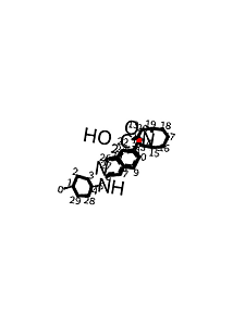 C[C@H]1CC[C@@H](Nc2cc3ccc(C(=O)N4C5CCCC4CC(C(=O)O)C5)cc3cn2)CC1